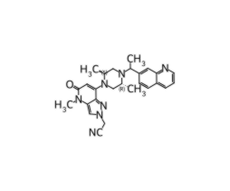 CC(c1ccc2cccnc2c1)N1C[C@H](C)N(c2cc(=O)n(C)c3cn(CC#N)nc23)C[C@H]1C